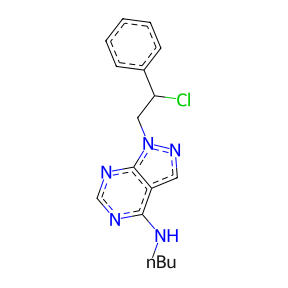 CCCCNc1ncnc2c1cnn2CC(Cl)c1ccccc1